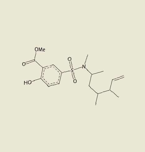 C=CC(C)C(C)CC(C)N(C)S(=O)(=O)c1ccc(O)c(C(=O)OC)c1